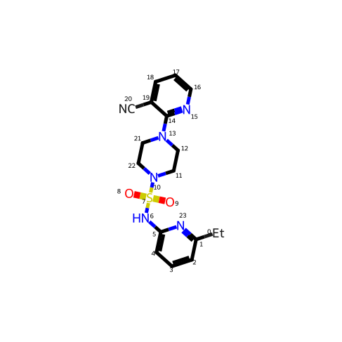 CCc1cccc(NS(=O)(=O)N2CCN(c3ncccc3C#N)CC2)n1